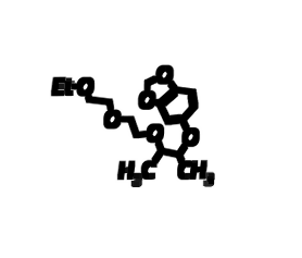 CCOCCOCCOC(C)C(C)Oc1ccc2c(c1)OCO2